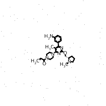 C=CC(=O)N1CCN(c2nc(OC[C@@H]3CCCN3C)nc(-c3cccc(N)c3)c2C)CC1